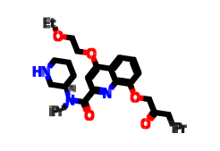 CCOCCOc1cc(C(=O)N(C(C)C)[C@@H]2CCCNC2)nc2c(OCC(=O)CC(C)C)cccc12